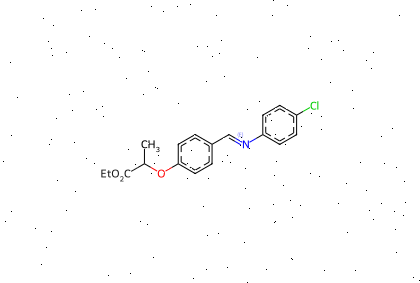 CCOC(=O)C(C)Oc1ccc(/C=N/c2ccc(Cl)cc2)cc1